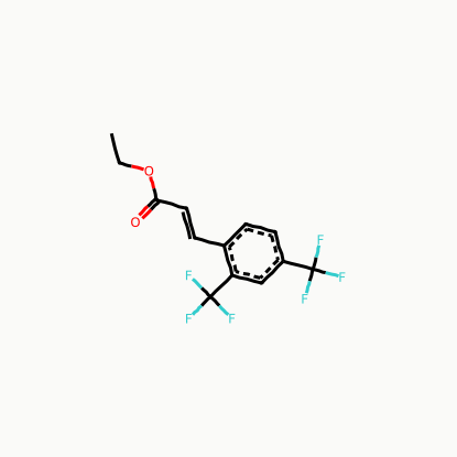 CCOC(=O)/C=C/c1ccc(C(F)(F)F)cc1C(F)(F)F